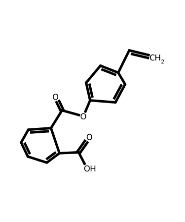 C=Cc1ccc(OC(=O)c2ccccc2C(=O)O)cc1